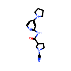 N#CN1CCC(C(=O)Nc2cc(N3CCCC3)ccn2)C1